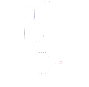 COC(=O)c1cc2c(s1)CN(C(=O)OC)CC2